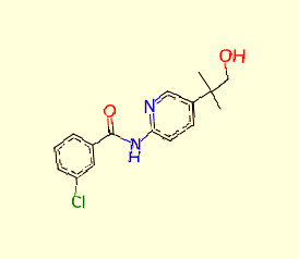 CC(C)(CO)c1ccc(NC(=O)c2cccc(Cl)c2)nc1